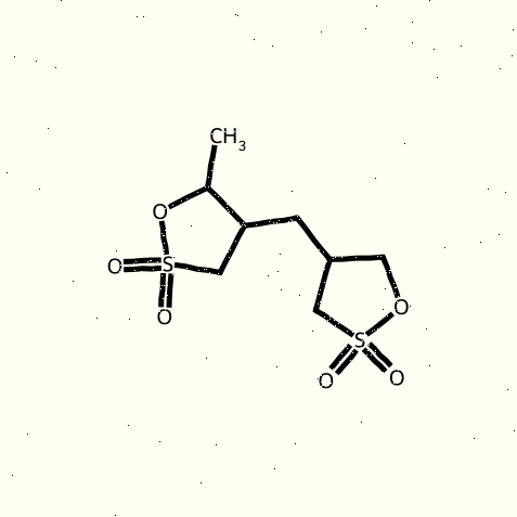 CC1OS(=O)(=O)CC1CC1COS(=O)(=O)C1